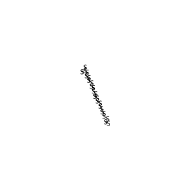 S=S=S=S=S=S=S=S=S=S=S=S=S=S=S=S=S=S=S=S=S=S(=S)=S